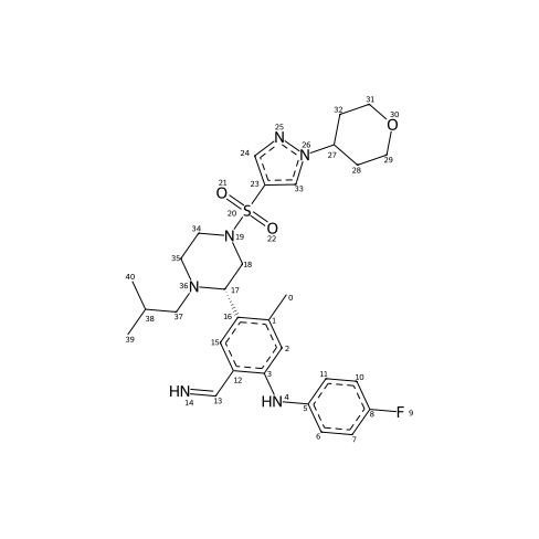 Cc1cc(Nc2ccc(F)cc2)c(C=N)cc1[C@H]1CN(S(=O)(=O)c2cnn(C3CCOCC3)c2)CCN1CC(C)C